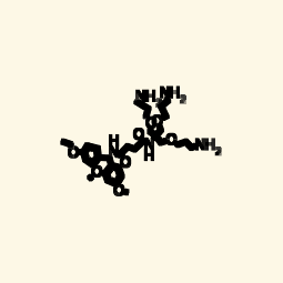 CCOc1ccc(C(NC(=O)CCC(=O)NC(COCCCN)(COCCCN)COCCCN)c2ccc(OC)cc2OC)cc1